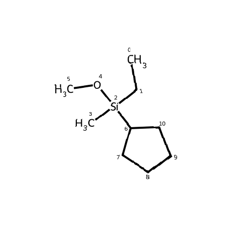 CC[Si](C)(OC)C1CCCC1